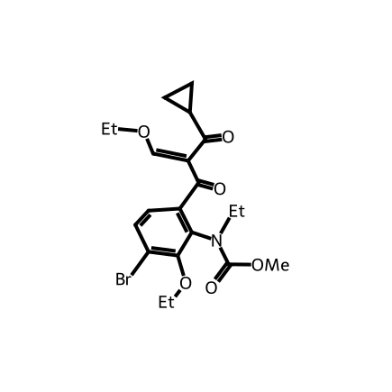 CCOC=C(C(=O)c1ccc(Br)c(OCC)c1N(CC)C(=O)OC)C(=O)C1CC1